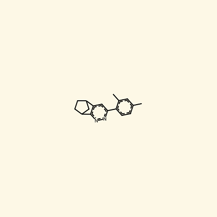 Cc1ccc(-c2cc3c(nn2)C2CCC3C2)c(C)c1